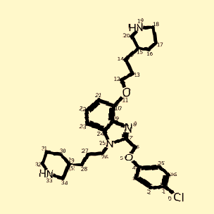 Clc1ccc(OCc2nc3c(OCCCC4CCCNC4)cccc3n2CCC[C@@H]2CCCNC2)cc1